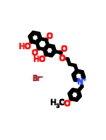 COc1ccc(C[n+]2ccc(CCCOC(=O)c3cc(O)c4c(c3)C(=O)c3cccc(O)c3C4=O)cc2)cc1.[Br-]